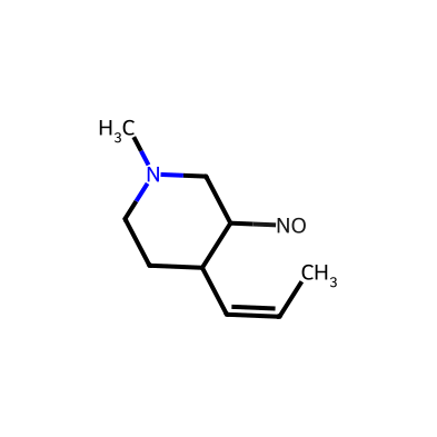 C/C=C\C1CCN(C)CC1N=O